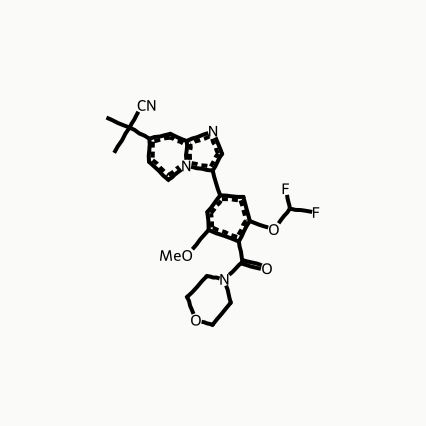 COc1cc(-c2cnc3cc(C(C)(C)C#N)ccn23)cc(OC(F)F)c1C(=O)N1CCOCC1